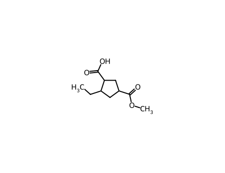 CCC1CC(C(=O)OC)CC1C(=O)O